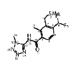 CSCc1c(C(F)F)ccc(C(=O)Nc2nnnn2C)c1C